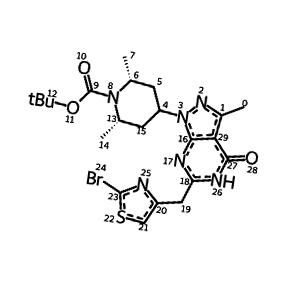 Cc1nn(C2C[C@@H](C)N(C(=O)OC(C)(C)C)[C@@H](C)C2)c2nc(Cc3csc(Br)n3)[nH]c(=O)c12